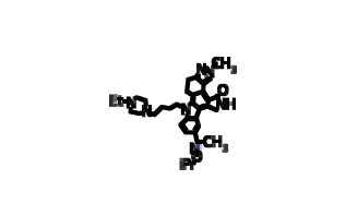 CCN1CCN(CCCCn2c3ccc(/C(C)=N/OC(C)C)cc3c3c4c(c5c(c32)CCc2nn(C)cc2-5)C(=O)NC4)CC1